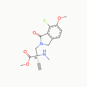 C#C[C@](CN1Cc2ccc(OC)c(F)c2C1=O)(NC)C(=O)OC